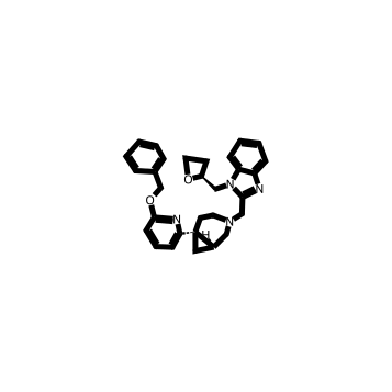 c1ccc(COc2cccc([C@]34CCN(Cc5nc6ccccc6n5C[C@@H]5CCO5)C[C@H]3C4)n2)cc1